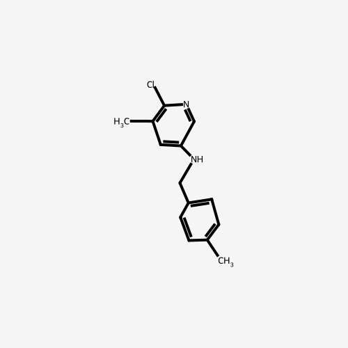 Cc1ccc(CNc2cnc(Cl)c(C)c2)cc1